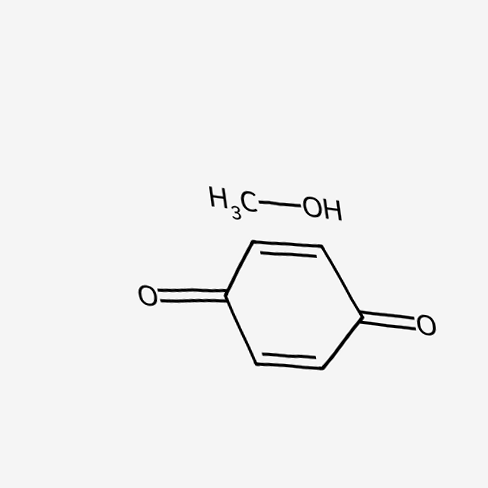 CO.O=C1C=CC(=O)C=C1